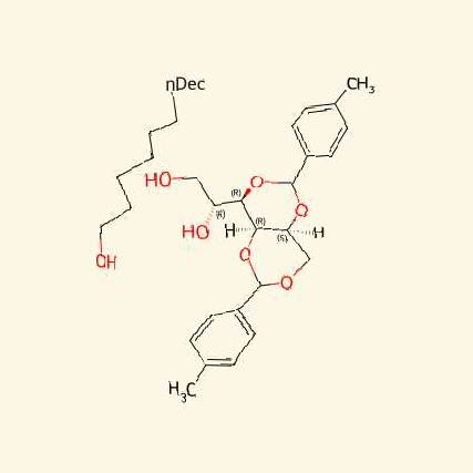 CCCCCCCCCCCCCCCCO.Cc1ccc(C2OC[C@@H]3OC(c4ccc(C)cc4)O[C@H]([C@H](O)CO)[C@@H]3O2)cc1